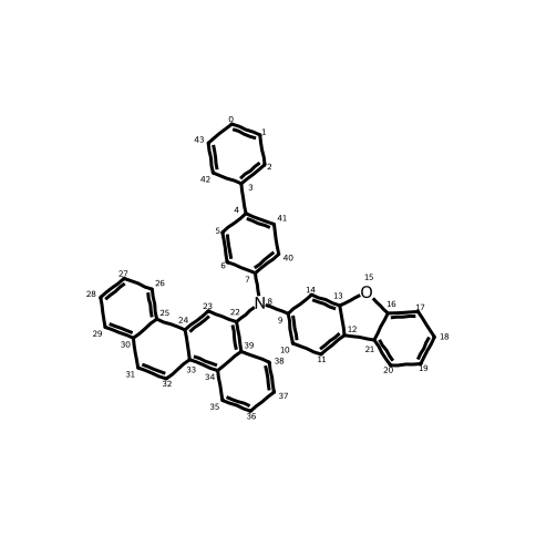 c1ccc(-c2ccc(N(c3ccc4c(c3)oc3ccccc34)c3cc4c5ccccc5ccc4c4ccccc34)cc2)cc1